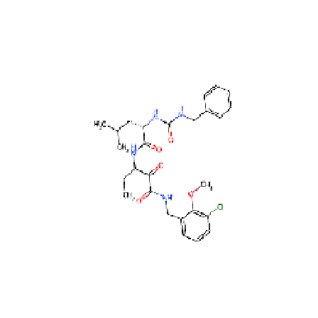 CCC(NC(=O)[C@H](CC(C)C)NC(=O)NCc1ccccc1)C(=O)C(=O)NCc1cccc(Cl)c1OC